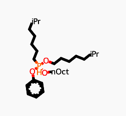 CCCCCCCCO[PH](CCCCCC(C)C)(OCCCCCC(C)C)Oc1ccccc1